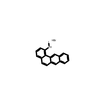 Br.IPc1cccc2ccc3cc4ccccc4cc3c12